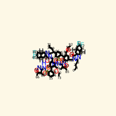 CCCCC1=NC2(C[C@H]3CC(F)(F)C[C@H]3C2)C(=O)N1Cc1ccc(-c2ccc(C(CCC)C3=NC4(C[C@H]5CC(F)(F)C[C@H]5C4)C(=O)N3Cc3ccc(-c4ccccc4S(=O)(=O)Nc4noc(C)c4C)c(COCC)c3)cc2S(=O)(=O)Nc2noc(C)c2C)c(COCC)c1